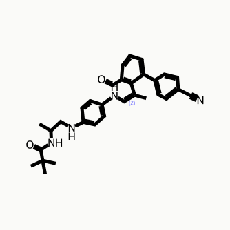 C/C(=C/Nc1ccc(NCC(C)NC(=O)C(C)(C)C)cc1)c1c(C=O)cccc1-c1ccc(C#N)cc1